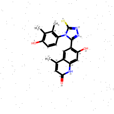 Cc1c(O)ccc(-n2c(S)nnc2-c2cc3c(C)cc(=O)[nH]c3cc2O)c1C